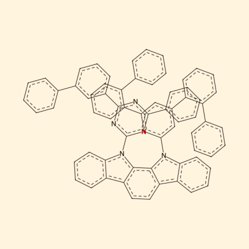 c1ccc(-c2cccc(-c3nc(-c4ccccc4)nc(-n4c5ccccc5c5ccc6c7ccccc7n(-c7cc(-c8ccccc8-c8ccccc8)cc(-c8ccccc8-c8ccccc8)c7)c6c54)n3)c2)cc1